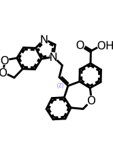 O=C(O)c1ccc2c(c1)/C(=C\Cn1cnc3cc4c(cc31)COO4)c1ccccc1CO2